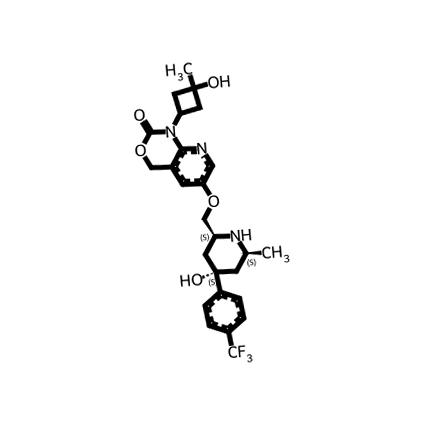 C[C@H]1C[C@@](O)(c2ccc(C(F)(F)F)cc2)C[C@@H](COc2cnc3c(c2)COC(=O)N3C2CC(C)(O)C2)N1